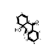 C=CC1(O)C=CC=CC1C(=O)c1ccccc1